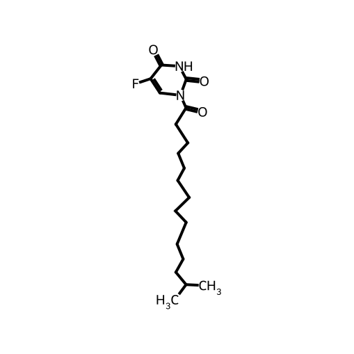 CC(C)CCCCCCCCCCCC(=O)n1cc(F)c(=O)[nH]c1=O